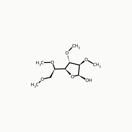 COC[C@@H](OC)[C@@H]1O[C@H](O)[C@H](OC)[C@H]1OC